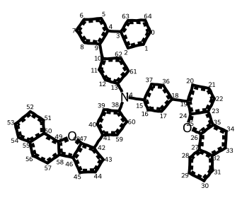 c1ccc(-c2ccccc2-c2ccc(N(c3ccc(-c4cccc5c4oc4c6ccccc6ccc54)cc3)c3ccc(-c4cccc5c4oc4c6ccccc6ccc54)cc3)cc2)cc1